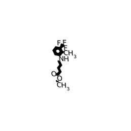 CCOC(=O)CCCCNc1cccc(C(F)(F)F)c1C